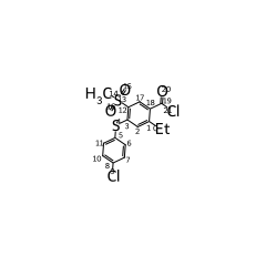 CCc1cc(Sc2ccc(Cl)cc2)c(S(C)(=O)=O)cc1C(=O)Cl